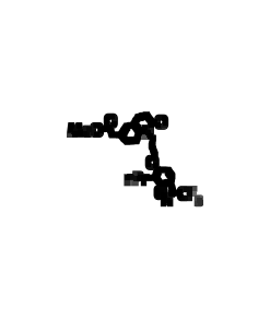 CCCc1c(OCCCn2c(=O)ccc3cc(CC(=O)OC)ccc32)ccc2c(C(F)(F)F)noc12